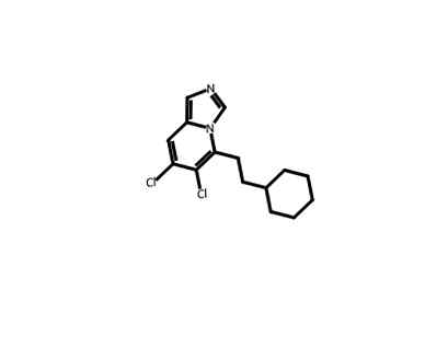 Clc1cc2cncn2c(CCC2CCCCC2)c1Cl